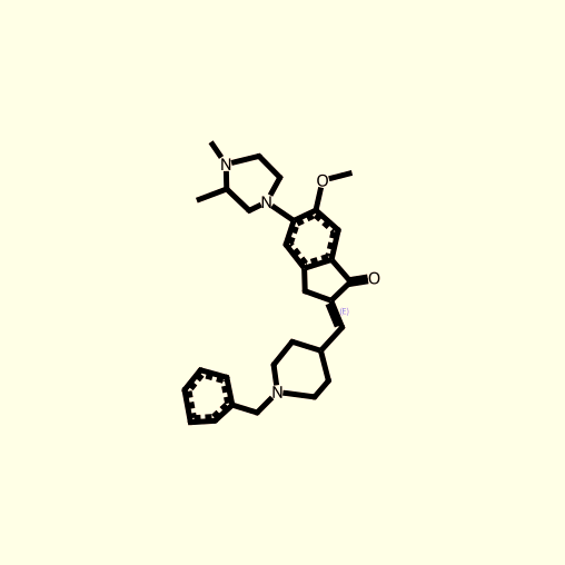 COc1cc2c(cc1N1CCN(C)C(C)C1)C/C(=C\C1CCN(Cc3ccccc3)CC1)C2=O